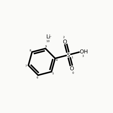 O=S(=O)(O)c1ccccc1.[Li]